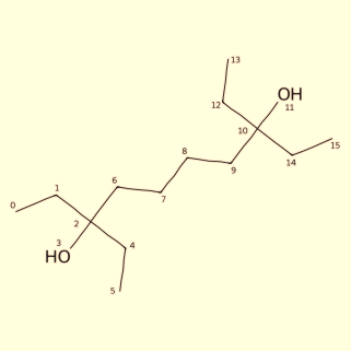 CCC(O)(CC)CCCCC(O)(CC)CC